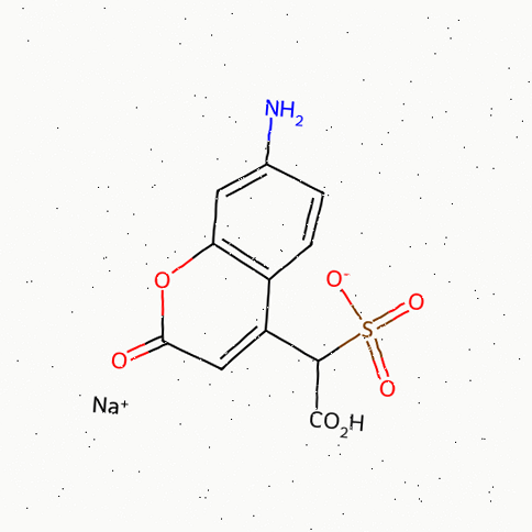 Nc1ccc2c(C(C(=O)O)S(=O)(=O)[O-])cc(=O)oc2c1.[Na+]